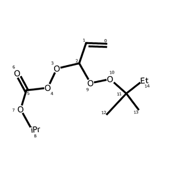 C=CC(OOC(=O)OC(C)C)OOC(C)(C)CC